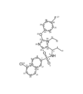 CCC(NS(=O)(=O)c1ccc2c(Cl)cccc2c1)c1cnc(Oc2ccc(F)cc2)n1CC